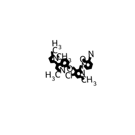 CCc1ccc(-c2cc(C)nc3c(OCc4c(Cl)cc(C)nc4Cn4cccc(C#N)c4=O)cccc23)n1C